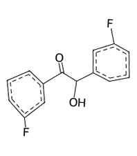 O=C(c1cccc(F)c1)C(O)c1cccc(F)c1